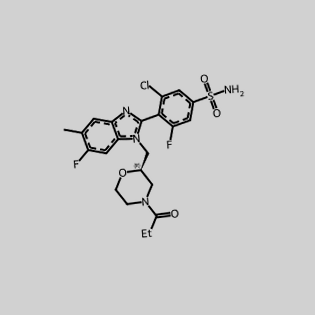 CCC(=O)N1CCO[C@@H](Cn2c(-c3c(F)cc(S(N)(=O)=O)cc3Cl)nc3cc(C)c(F)cc32)C1